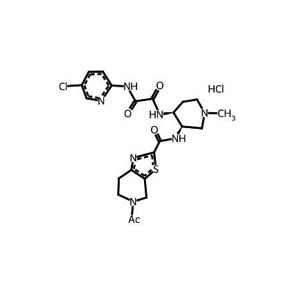 CC(=O)N1CCc2nc(C(=O)N[C@@H]3CN(C)CC[C@@H]3NC(=O)C(=O)Nc3ccc(Cl)cn3)sc2C1.Cl